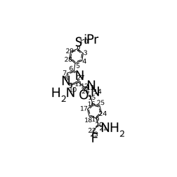 CC(C)Sc1ccc(-c2cnc(N)c(-c3nnc(-c4ccc(C(N)CF)cc4)o3)n2)cc1